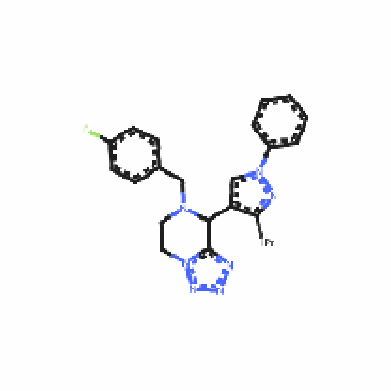 CC(C)c1nn(-c2ccccc2)cc1C1c2nnnn2CCN1Cc1ccc(F)cc1